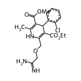 CCOC(=O)C1=C(COCC(=N)N)NC(C)=C(C(=O)OC)C1c1ccccc1Cl